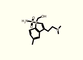 Cc1ccc2c(c1)C(CCN(C)C)=C[N+]2(CO)S(N)(=O)=O